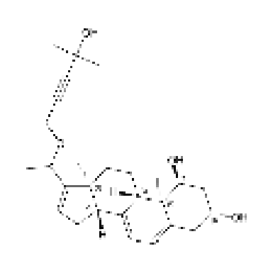 CC(OCC#CC(C)(C)O)C1=CC[C@H]2C3=CC=C4C[C@@H](O)C[C@H](O)[C@]4(C)[C@H]3CC[C@]12C